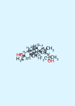 C[C@H](CCC(C)(O)C(F)(F)F)[C@H]1CC[C@H]2[C@@H]3CC=C4C[C@@](C)(O)CC[C@]4(C)[C@H]3CC[C@]12C